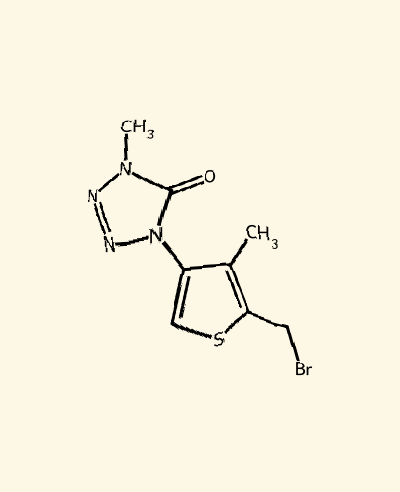 Cc1c(-n2nnn(C)c2=O)csc1CBr